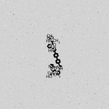 COC(=O)N[C@@H](C)C(=O)N1CCC[C@H]1c1ncc(-c2ccc(-c3ccc(-c4cnc([C@@H]5CCCN5C(=O)[C@H](Cn5cccn5)N(C)C(=O)O)[nH]4)cc3)cc2)[nH]1